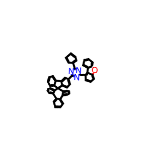 c1ccc(-c2nc(-c3ccc4c(c3)-c3ccccc3C43c4ccccc4-c4ccccc4-c4ccccc43)nc(-c3cccc4oc5ccccc5c34)n2)cc1